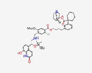 COc1cc(C(=O)OCCCCc2cccc(C3(C(=O)O[C@H]4CN5CCC4CC5)CCCCC3)c2)c(Cl)cc1CNC[C@H](O[Si](C)(C)C(C)(C)C)c1ccc(O)c2[nH]c(=O)ccc12